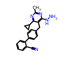 Cc1nc(NN)c(Cc2ccc(-c3ccccc3C#N)cc2)c(C2CC2)n1